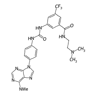 CNc1ncnc2c1ncn2-c1ccc(NC(=O)Nc2cc(C(=O)NCCN(C)C)cc(C(F)(F)F)c2)cc1